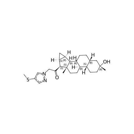 CSc1cnn(CC(=O)[C@H]2[C@H]3C[C@H]3[C@H]3[C@@H]4CC[C@@H]5C[C@](C)(O)CC[C@@H]5[C@H]4CC[C@@]32C)c1